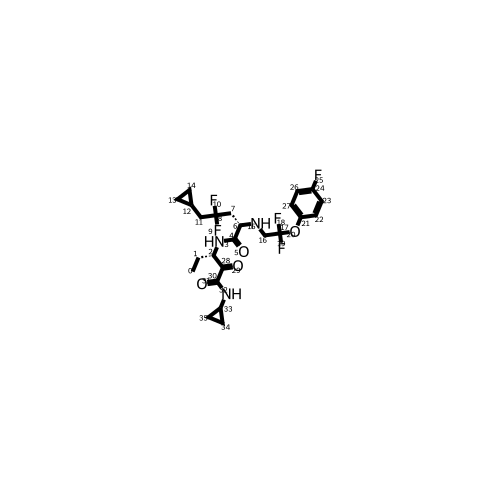 CC[C@H](NC(=O)[C@H](CC(F)(F)CC1CC1)NCC(F)(F)Oc1ccc(F)cc1)C(=O)C(=O)NC1CC1